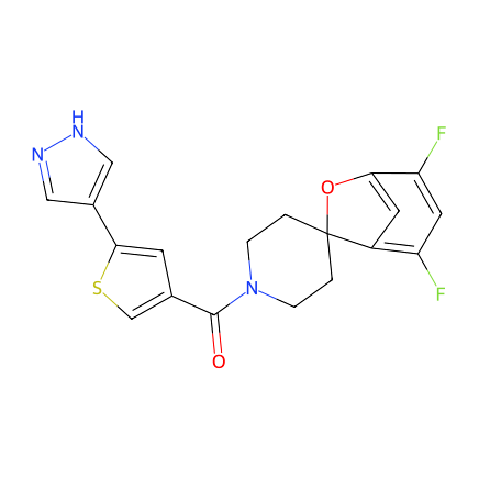 O=C(c1csc(-c2cn[nH]c2)c1)N1CCC2(CC1)Oc1cc2c(F)cc1F